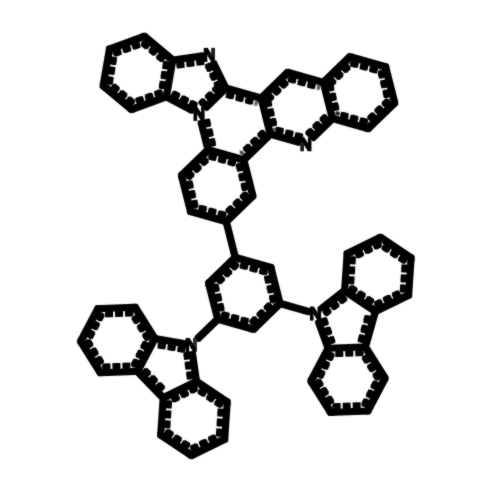 c1ccc2nc3c4cc(-c5cc(-n6c7ccccc7c7ccccc76)cc(-n6c7ccccc7c7ccccc76)c5)ccc4n4c5ccccc5nc4c3cc2c1